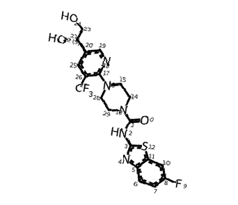 O=C(Nc1nc2ccc(F)cc2s1)N1CCN(c2ncc([C@H](O)CO)cc2C(F)(F)F)CC1